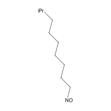 CC(C)CCCCCCCN=O